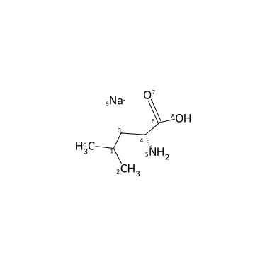 CC(C)C[C@@H](N)C(=O)O.[Na]